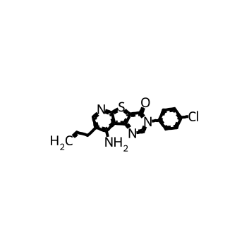 C=CCc1cnc2sc3c(=O)n(-c4ccc(Cl)cc4)cnc3c2c1N